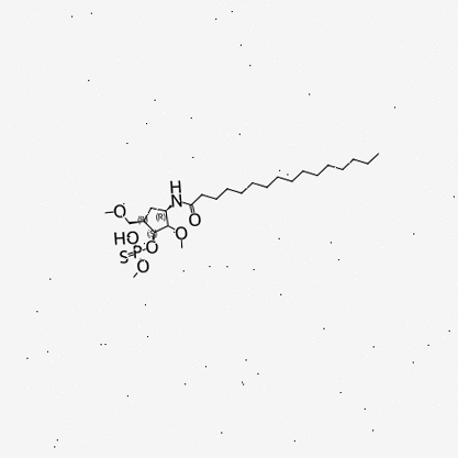 CCCCCCCCCCCCCCCC(=O)N[C@@H]1C[C@H](COC)[C@H](OP(O)(=S)OC)C1OC